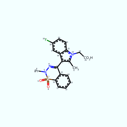 Cc1c(C2=NN(C(C)C)S(=O)(=O)c3ccccc32)c2cc(F)ccc2n1CC(=O)O